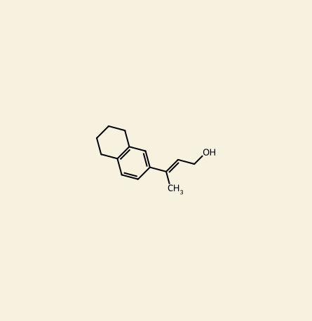 CC(=CCO)c1ccc2c(c1)CCCC2